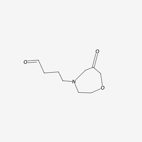 O=CCCCN1CCOCC(=O)C1